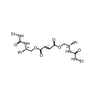 CCNC(=O)N[C@@H](COC(=O)/C=C/C(=O)OC[C@H](NC(=O)NCC)C(C)C)C(C)C